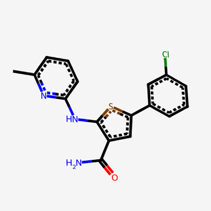 Cc1cccc(Nc2sc(-c3cccc(Cl)c3)cc2C(N)=O)n1